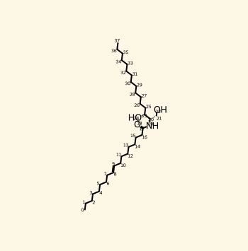 CCCCCCCCC=CCCCCCCCC(=O)N[C@@H](CO)[C@H](O)CCCCCCCCCCCCC